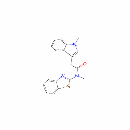 CN(C(=O)Cc1cn(C)c2ccccc12)c1nc2ccccc2s1